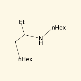 CCCCCCCC(CC)NCCCCCC